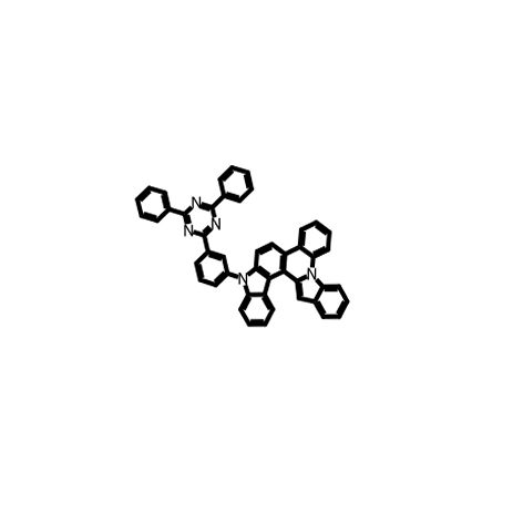 c1ccc(-c2nc(-c3ccccc3)nc(-c3cccc(-n4c5ccccc5c5c6c(ccc54)c4ccccc4n4c5ccccc5cc64)c3)n2)cc1